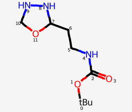 CC(C)(C)OC(=O)NCCC1NNCO1